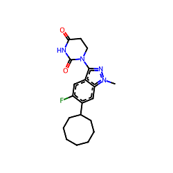 Cn1nc(N2CCC(=O)NC2=O)c2cc(F)c(C3CCCCCCC3)cc21